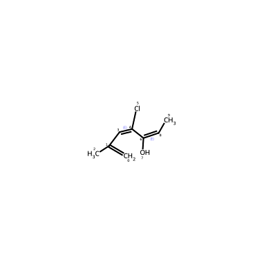 C=C(C)/C=C(Cl)\C(O)=C/C